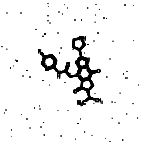 CC(C)N1Cc2c(n(CC(=O)Nc3ccc(F)cn3)c3cc(C4CCNC4)nn3c2=O)C1=O